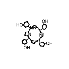 Oc1cccc(-c2c3nc(c(-c4cccc(O)c4)c4ccc([nH]4)c(-c4cccc(O)c4)c4nc(c(-c5cccc(O)c5)c5[nH]c2CC5)C=C4)C=C3)c1